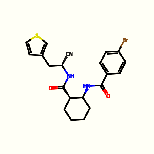 N#C[C@H](Cc1ccsc1)NC(=O)[C@@H]1CCCC[C@@H]1NC(=O)c1ccc(Br)cc1